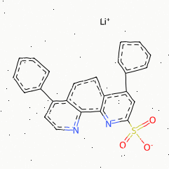 O=S(=O)([O-])c1cc(-c2ccccc2)c2ccc3c(-c4ccccc4)ccnc3c2n1.[Li+]